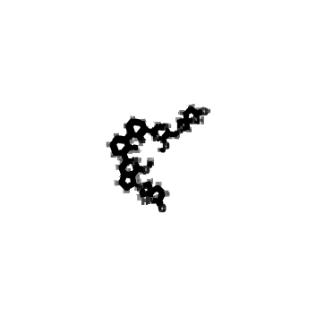 COc1nc(-c2cccc(-c3cccc(-c4cc5c(c(OC)n4)[C@@H](N4CC6(CCC(=O)N6)C4)CC5)c3C)c2F)cnc1CN1CC2(CCC(=O)N2)C1